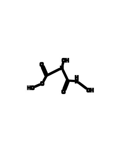 O=C(NO)N(O)C(=O)OO